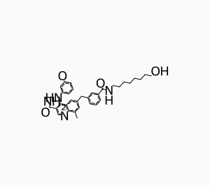 COc1cccc(Nc2c(C(N)=O)cnc3c(C)cc(Cc4cccc(C(=O)NCCCCCCCCO)c4)cc23)c1